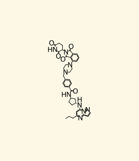 CCCc1cc(N[C@@H]2CC[C@@H](NC(=O)c3ccc(CN4CCN(c5cccc6c5C(=O)N(C5CCC(=O)NC5=O)C6=O)CC4)cc3)C2)n2nccc2n1